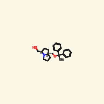 CC(C)(C)[Si](OC[C@]12CCCN1[C@@H](CO)CC2)(c1ccccc1)c1ccccc1